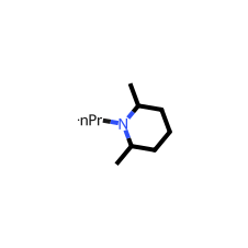 CC[CH]N1C(C)CCCC1C